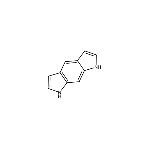 c1cc2cc3cc[nH]c3cc2[nH]1